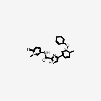 CC1C=CC(c2c[nH]c(C(=O)Nc3ccc(=O)n(C)c3)n2)=C[C@H]1OC1=CCCC=C1